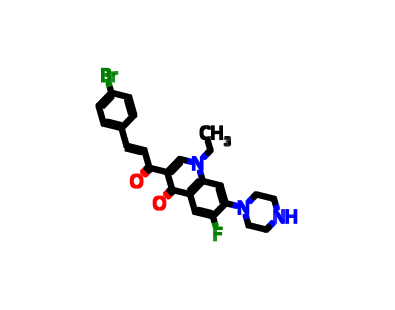 CCn1cc(C(=O)/C=C/c2ccc(Br)cc2)c(=O)c2cc(F)c(N3CCNCC3)cc21